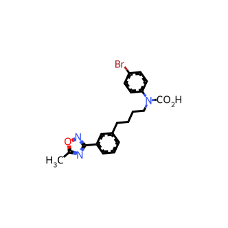 Cc1nc(-c2cccc(CCCCN(C(=O)O)c3ccc(Br)cc3)c2)no1